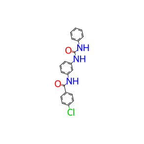 O=C(Nc1ccccc1)Nc1cccc(NC(=O)c2ccc(Cl)cc2)c1